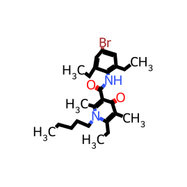 CCCCCn1c(C)c(C(=O)Nc2c(CC)cc(Br)cc2CC)c(=O)c(C)c1CC